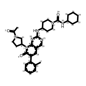 CC(=O)N1CCC(n2c(=O)c(-c3ccccc3C)cc3cnc(NC4CCN(C(=O)NC5CCCCC5)CC4)nc32)C1